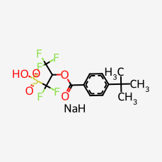 CC(C)(C)c1ccc(C(=O)OC(C(F)(F)F)C(F)(F)S(=O)(=O)O)cc1.[NaH]